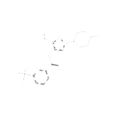 CC1CCC(n2cc(NC(=O)c3cccc(C(F)(F)F)n3)c(C(F)F)n2)CC1